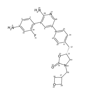 Nc1ccc(-c2cc(-c3ccc(C[C@@H]4CN(CC5COC5)C(=O)O4)cc3)cnc2N)c(F)c1